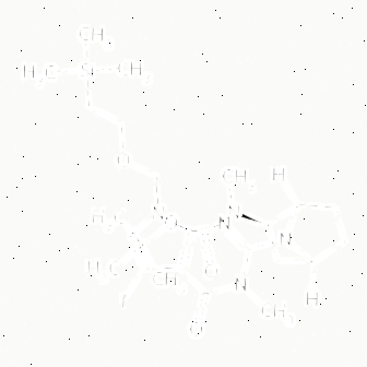 CN(C(=O)OC(C)(C)C)[C@@H]1C[C@@H]2CC[C@H]1N2c1nc2c(c(I)cn2COCC[Si](C)(C)C)c(=O)n1C